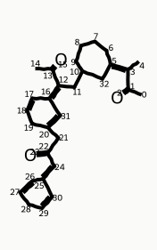 CC(=O)/C(C)=C1/CCCCC(C/C(C(C)=O)=C2/C=CCC(CC(=O)C=C3C=CCC=C3)=C2)C1